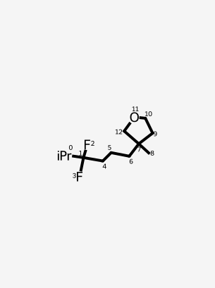 CC(C)C(F)(F)CCCC1(C)CCOC1